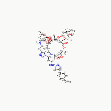 CC[C@H]1OC(=O)[C@H](C)[C@@H](O[C@H]2C[C@@](C)(OC)[C@@H](O)[C@H](C)O2)[C@H](C)[C@@H](O[C@@H]2O[C@H](C)C[C@H](N(C)CCc3cn(CCCNc4nnc(-c5ccc(OC)cc5)s4)nn3)[C@H]2O)[C@](C)(O)C[C@@H](C)CN(C)[C@H](C)[C@@H](O)[C@]1(C)O